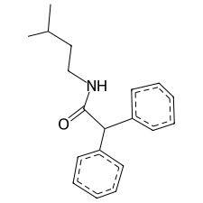 CC(C)CCNC(=O)C(c1ccccc1)c1ccccc1